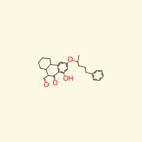 CC(CCCc1ccccc1)Oc1cc(O)c2c(c1)C1CCCCC1C(C=O)C2=O